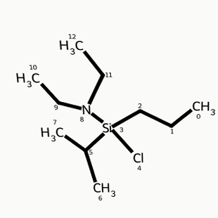 CCC[Si](Cl)(C(C)C)N(CC)CC